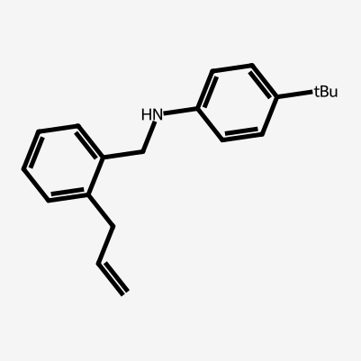 C=CCc1ccccc1CNc1ccc(C(C)(C)C)cc1